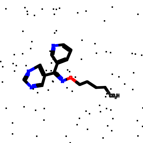 O=C(O)CCCCO/N=C(\c1cccnc1)c1cncnc1